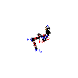 Cc1ncsc1-c1ccc(CNC(=O)[C@@H]2C[C@@H](O)CN2C(=O)C(NC(=O)CCOCC2(COCCOCCN)CNC2)C(C)(C)C)cc1